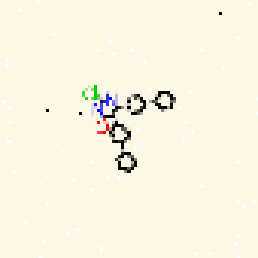 Clc1nc(-c2ccc(-c3ccccc3)cc2)c2c(n1)oc1cc(-c3ccccc3)ccc12